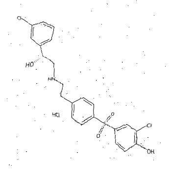 Cl.O=S(=O)(c1ccc(CCNC[C@H](O)c2cccc(Cl)c2)cc1)c1ccc(O)c(Cl)c1